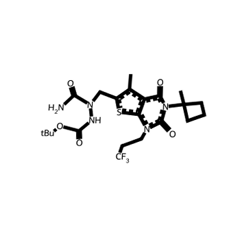 Cc1c(CN(NC(=O)OC(C)(C)C)C(N)=O)sc2c1c(=O)n(C1(C)CCC1)c(=O)n2CCC(F)(F)F